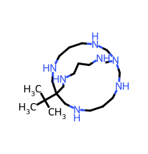 CC(C)(C)C12CNCCCNCN(CNCCCNC1)CNCCCNC2